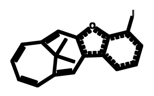 CC1(C)C2=Cc3oc4c(I)cccc4c3C=C1C=CC=C2